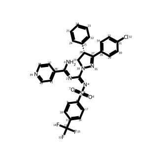 N/C(=N\C(=N/S(=O)(=O)c1ccc(C(F)(F)F)cc1)N1C[C@H](c2ccccc2)C(c2ccc(Cl)cc2)=N1)c1ccncc1